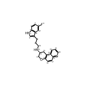 Fc1ccc2[nH]cc(CCCN[C@@H]3COc4ccc5ncccc5c4C3)c2c1